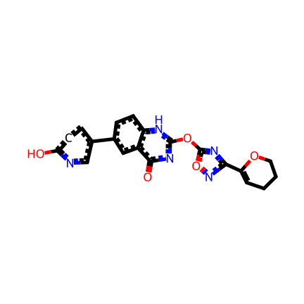 O=c1nc(Oc2nc(C3=CCCCO3)no2)[nH]c2ccc(-c3ccc(O)nc3)cc12